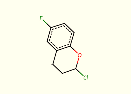 Fc1ccc2c(c1)[CH]CC(Cl)O2